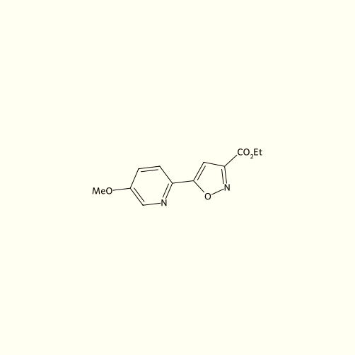 CCOC(=O)c1cc(-c2ccc(OC)cn2)on1